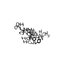 C#CCN(Cc1ccc2nc(C)[nH]c(=O)c2c1)c1ccc(C(=O)N(C)[C@@H](CC(C(=O)O)C(=O)[C@@H](N)CCC(=O)O)C(=O)O)c(F)c1